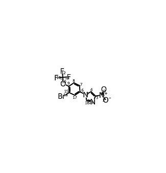 O=[N+]([O-])c1cn(-c2ccc(OC(F)(F)F)c(Br)c2)cn1